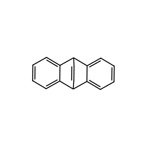 C1=CC2c3ccccc3C1c1ccccc12